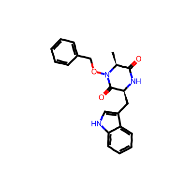 C[C@H]1C(=O)N[C@@H](Cc2c[nH]c3ccccc23)C(=O)N1OCc1ccccc1